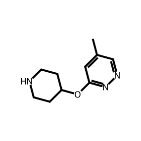 Cc1cnnc(OC2CCNCC2)c1